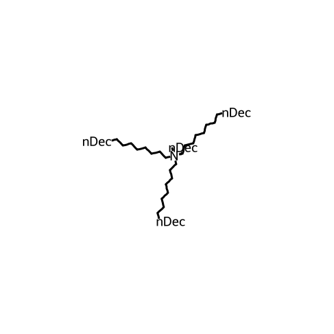 CCCCCCCCCCCCCCCCCC[N+](CCCCCCCCCC)(CCCCCCCCCCCCCCCCCC)CCCCCCCCCCCCCCCCCC